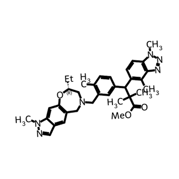 CC[C@@H]1CN(Cc2cc(C(c3ccc4c(nnn4C)c3C)C(C)(C)C(=O)OC)ccc2C)Cc2cc3cnn(C)c3cc2O1